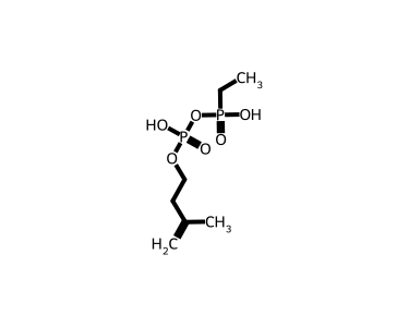 C=C(C)CCOP(=O)(O)OP(=O)(O)CC